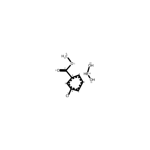 COC(=O)c1cccc(Cl)c1.OBO